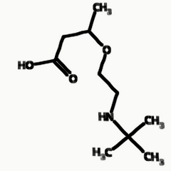 CC(CC(=O)O)OCCNC(C)(C)C